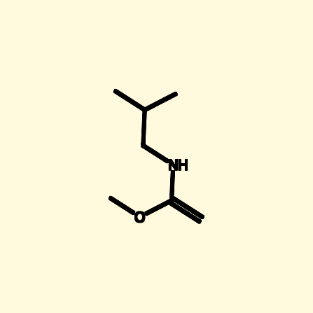 C=C(NCC(C)C)OC